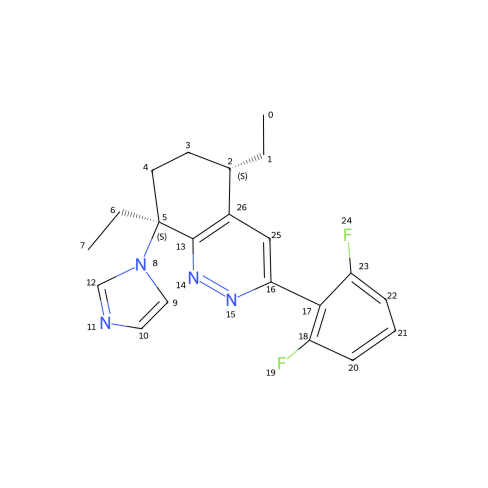 CC[C@H]1CC[C@](CC)(n2ccnc2)c2nnc(-c3c(F)cccc3F)cc21